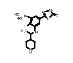 CC(Nc1cc(-c2n[nH]c(=O)o2)cc(Br)c1Cl)C1CCNCC1.Cl.Cl